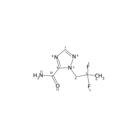 CC(F)(F)Cn1ncnc1C(N)=O